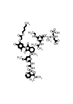 CCCCCOC(=O)COc1cc(N2C(=O)C3=C(CCCC3)C2=O)c(F)cc1Cl.CCNc1nc(Cl)nc(NC(C)C)n1.COc1cc(OC)nc(NC(=O)NS(=O)(=O)c2ncccc2C(=O)N(C)C)n1.C[S+](C)C.O=C(O)CNCP(=O)([O-])O